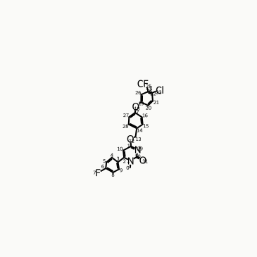 Cn1c(-c2ccc(F)cc2)cc(OCc2ccc(Oc3ccc(Cl)c(C(F)(F)F)c3)cc2)nc1=O